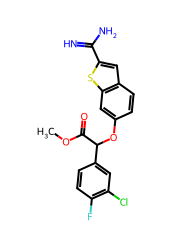 COC(=O)C(Oc1ccc2cc(C(=N)N)sc2c1)c1ccc(F)c(Cl)c1